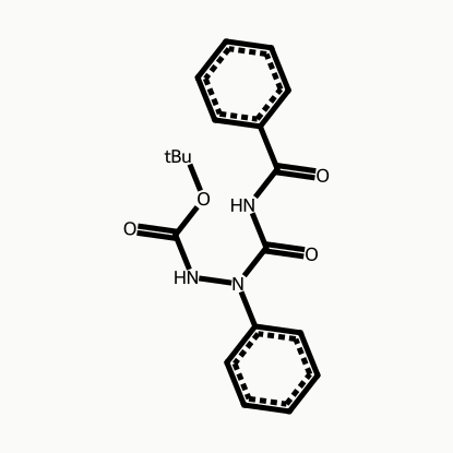 CC(C)(C)OC(=O)NN(C(=O)NC(=O)c1ccccc1)c1ccccc1